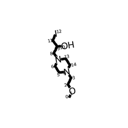 COCCN1CCN(CC(O)CI)CC1